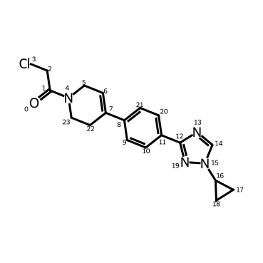 O=C(CCl)N1CC=C(c2ccc(-c3ncn(C4CC4)n3)cc2)CC1